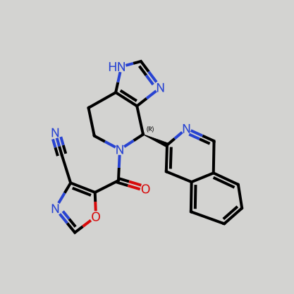 N#Cc1ncoc1C(=O)N1CCc2[nH]cnc2[C@H]1c1cc2ccccc2cn1